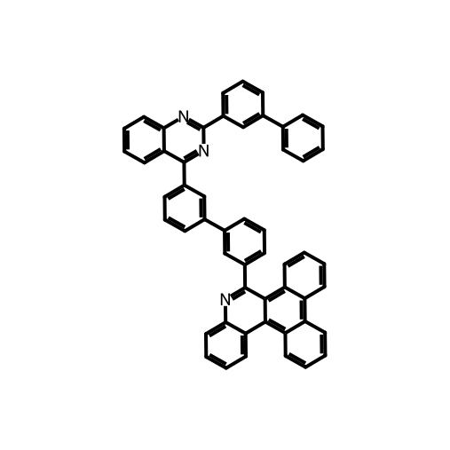 c1ccc(-c2cccc(-c3nc(-c4cccc(-c5cccc(-c6nc7ccccc7c7c8ccccc8c8ccccc8c67)c5)c4)c4ccccc4n3)c2)cc1